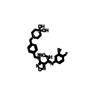 ONC(=Nc1ccc(F)c(Br)c1)c1nonc1NCc1ccc(CN2CCS(O)(O)CC2)cc1